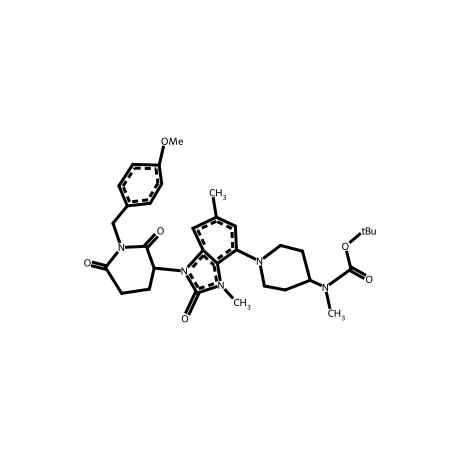 COc1ccc(CN2C(=O)CCC(n3c(=O)n(C)c4c(N5CCC(N(C)C(=O)OC(C)(C)C)CC5)cc(C)cc43)C2=O)cc1